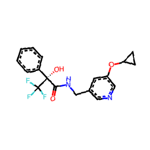 O=C(NCc1cncc(OC2CC2)c1)[C@](O)(c1ccccc1)C(F)(F)F